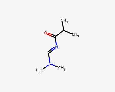 CC(C)C(=O)/N=C/N(C)C